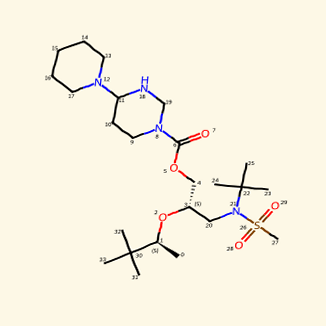 C[C@H](O[C@H](COC(=O)N1CCC(N2CCCCC2)NC1)CN(C(C)(C)C)S(C)(=O)=O)C(C)(C)C